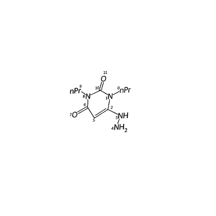 CCCn1c(NN)cc(=O)n(CCC)c1=O